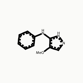 COc1cn[nH]c1Nc1ccccc1